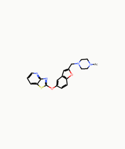 CC(=O)N1CCN(Cc2cc3cc(Oc4nc5ncccc5s4)ccc3o2)CC1